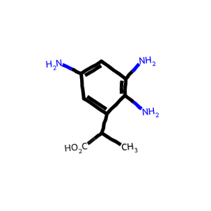 CC(C(=O)O)c1cc(N)cc(N)c1N